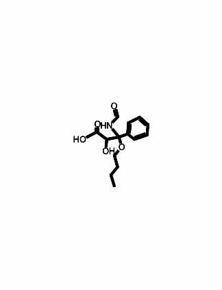 CCCCOC(NC=O)(c1ccccc1)C(O)C(=O)O